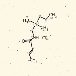 CC=CC(=O)NC[N+](C)(C)CCC.[Cl-]